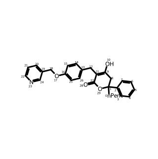 CCCCCC1(c2ccccc2)CC(O)=C(Cc2ccc(OCc3cccnc3)cc2)C(=O)O1